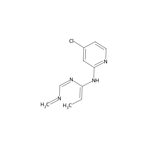 C=N/C=N\C(=C/C)Nc1cc(Cl)ccn1